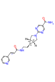 NC(=O)c1cnc(N2C[C@@H]3[C@@H](CCNC(=O)/C=C/c4cccnc4)[C@@H]3C2)nc1